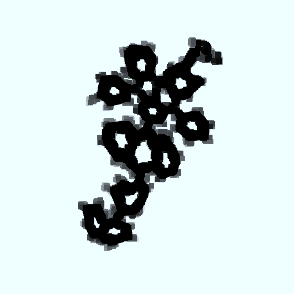 CC(C)(C)c1ccc2c(c1)B1c3ccccc3N(c3ccccc3)c3cc(-c4c5ccccc5c(-c5ccc(-c6cccc7ccccc67)cc5)c5ccccc45)cc(c31)N2c1ccccc1